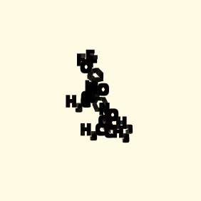 CNC1(C(=O)N(C=O)c2cccc(OC(F)(F)F)c2)CCN(C(=O)OC(C)(C)C)CC1